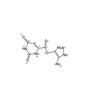 Nc1[nH]nnc1OC(=O)c1cc(=O)[nH]c(=O)[nH]1